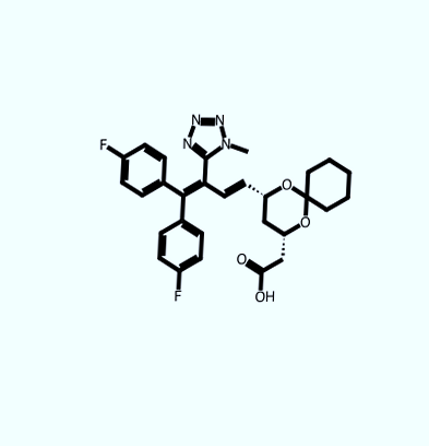 Cn1nnnc1C(/C=C/[C@H]1C[C@@H](CC(=O)O)OC2(CCCCC2)O1)=C(c1ccc(F)cc1)c1ccc(F)cc1